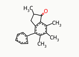 Cc1c(C)c2c(c(-c3ccccc3)c1C)CC(C)C2=O